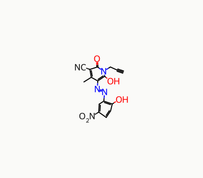 C#CCn1c(O)c(/N=N/c2cc([N+](=O)[O-])ccc2O)c(C)c(C#N)c1=O